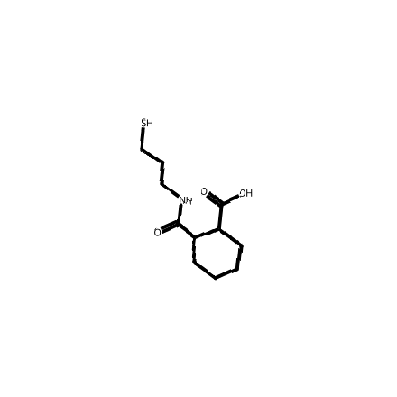 O=C(O)C1CCCCC1C(=O)NCCCS